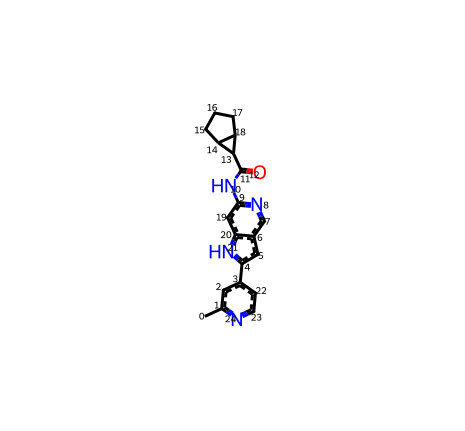 Cc1cc(-c2cc3cnc(NC(=O)C4C5CCCC54)cc3[nH]2)ccn1